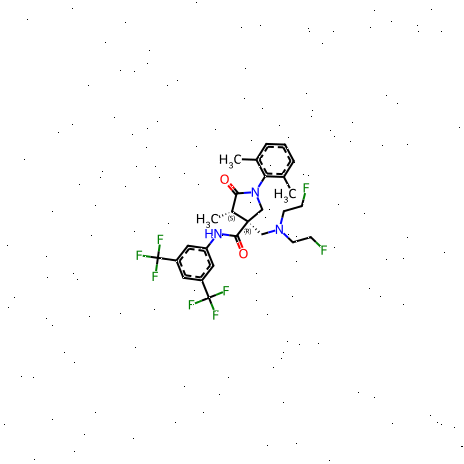 Cc1cccc(C)c1N1C[C@@](CN(CCF)CCF)(C(=O)Nc2cc(C(F)(F)F)cc(C(F)(F)F)c2)[C@H](C)C1=O